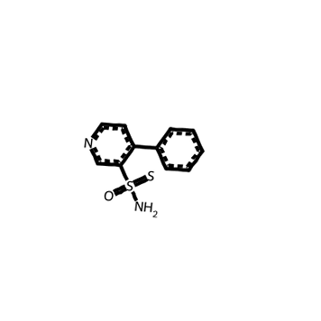 NS(=O)(=S)c1cnccc1-c1ccccc1